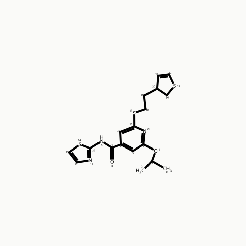 CC(C)Oc1cc(C(=O)Nc2nccs2)cc(SCCC2C=CSC2)n1